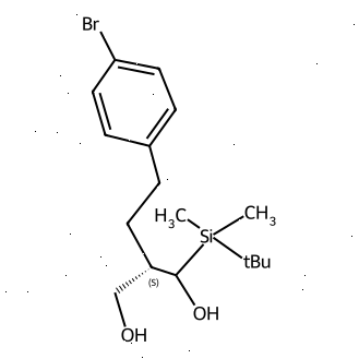 CC(C)(C)[Si](C)(C)C(O)[C@H](CO)CCc1ccc(Br)cc1